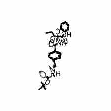 CCC(=O)C(NC(=O)c1ccc(C=NNC(=O)OC(C)(C)C)cc1)(Oc1ccccc1)C(=O)O